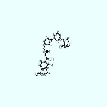 Cc1c(C(O)CNCc2cnn(-c3cc(N4CCOC4=O)ccn3)c2)ccc2c1COC2=O